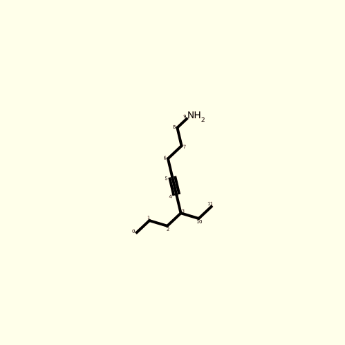 CCCC(C#CCCCN)CC